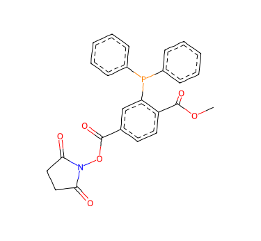 COC(=O)c1ccc(C(=O)ON2C(=O)CCC2=O)cc1P(c1ccccc1)c1ccccc1